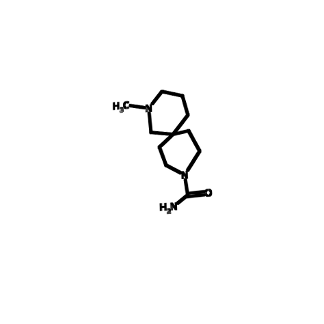 CN1CCCC2(CCN(C(N)=O)CC2)C1